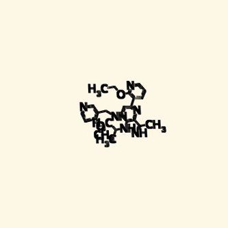 CCOc1ncccc1-c1cc(NCc2cnccc2OC)c(NC(C)C)c(C(C)=N)n1